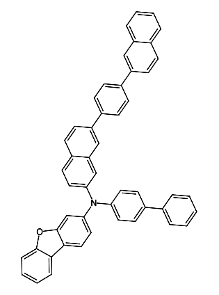 c1ccc(-c2ccc(N(c3ccc4ccc(-c5ccc(-c6ccc7ccccc7c6)cc5)cc4c3)c3ccc4c(c3)oc3ccccc34)cc2)cc1